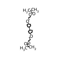 C=C(C)C(=O)O/C=C/COc1ccc(-c2ccc(OC/C=C/OC(=O)C(=C)C)cc2)cc1